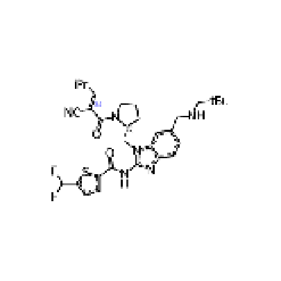 CC(C)/C=C(\C#N)C(=O)N1CCC[C@@H]1Cn1c(NC(=O)c2ccc(C(F)F)s2)nc2ccc(CNCC(C)(C)C)cc21